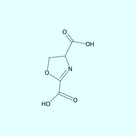 O=C(O)C1=NC(C(=O)O)CO1